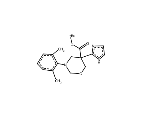 Cc1cccc(C)c1N1COCC(C(=O)OC(C)(C)C)(c2ncc[nH]2)C1